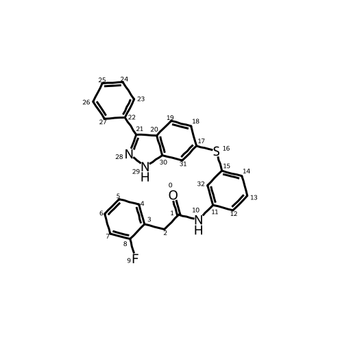 O=C(Cc1ccccc1F)Nc1cccc(Sc2ccc3c(-c4ccccc4)n[nH]c3c2)c1